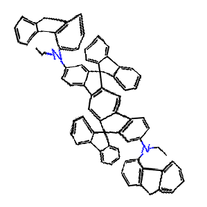 CCN(c1ccc2c(c1)C1(c3ccccc3-c3ccccc31)c1cc3c(cc1-2)C1(c2ccccc2-c2ccccc21)c1cc(N(CC)c2cccc4c2-c2ccccc2C4)ccc1-3)c1cccc2c1-c1ccccc1C2